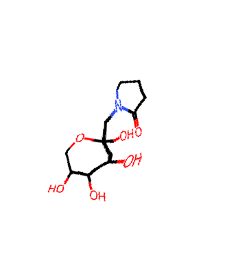 O=C1CCCN1CC1(O)OCC(O)C(O)C1O